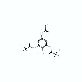 CCC(C)(C)C(=O)Nc1cc(NC(=O)CC(C)(C)C)cc(NC(=O)C(C)(C)CC)c1N